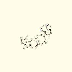 C/C=C\c1nccc(C2CCCCC3(CCC2)CCCN(CC(C)(C)CC(C)CC)CCC3)c1/C=C\C